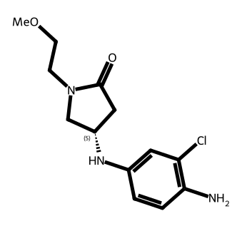 COCCN1C[C@@H](Nc2ccc(N)c(Cl)c2)CC1=O